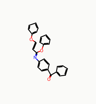 O=C(c1ccccc1)c1ccc(N=C(C=COc2ccccc2)Oc2ccccc2)cc1